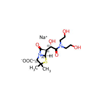 CC1(C)S[C@@H]2[C@H]([C@H](O)C(=O)N(CCO)CCO)C(=O)N2[C@H]1C(=O)[O-].[Na+]